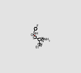 CCc1nnc(-c2cc(-c3csc(C(=O)NCc4ccc(F)cc4)c3)cn3nc(N)nc23)o1